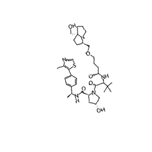 Cc1ncsc1-c1ccc([C@H](C)NC(=O)[C@@H]2C[C@@H](O)CN2C(=O)[C@@H](NC(=O)CCCOC[C@H]2CC[C@@]3(CO)CCCN23)C(C)(C)C)cc1